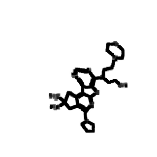 CC1(C)Cc2c(N3CCCC3)nc3sc4c(N(CCO)CCN5CCOCC5)ncnc4c3c2C1